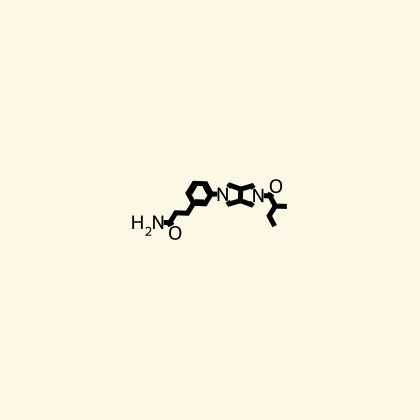 CCC(C)C(=O)N1CC2CN(c3cccc(CCC(N)=O)c3)CC2C1